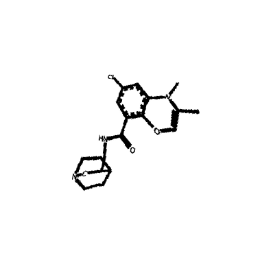 CC1=COc2c(C(=O)NC3CN4CCC3CC4)cc(Cl)cc2N1C